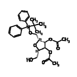 CC(=O)OC1C(OC(C)=O)[C@@H](CO[Si](c2ccccc2)(c2ccccc2)C(C)(C)C)O[C@H]1CO